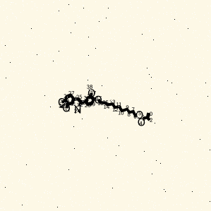 C=C(C)C(=O)OCCCCCCCCCCCOc1ccc(C(C#N)=Cc2ccc3c(c2)OCO3)cc1OC